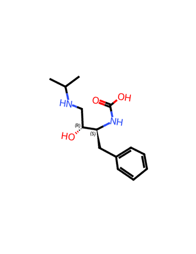 CC(C)NC[C@@H](O)[C@H](Cc1ccccc1)NC(=O)O